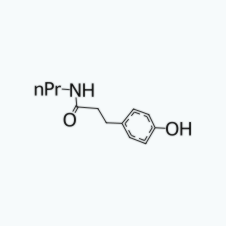 CCCNC(=O)CCc1ccc(O)cc1